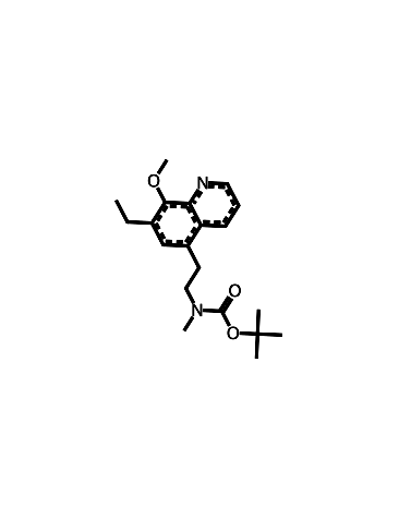 CCc1cc(CCN(C)C(=O)OC(C)(C)C)c2cccnc2c1OC